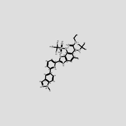 CCOC(=O)[C@@H](OC(C)(C)C)c1c(C)cc2nc(-c3cccc(-c4ccc5c(cnn5C)c4)n3)sc2c1OS(=O)(=O)C(F)(F)F